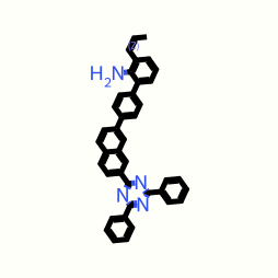 C/C=C\c1cccc(-c2ccc(-c3ccc4ccc(-c5nc(-c6ccccc6)nc(-c6ccccc6)n5)cc4c3)cc2)c1N